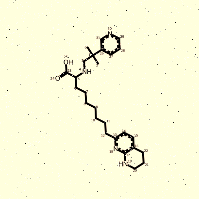 CC(C)(CNC(CCCCCCCc1ccc2c(n1)NCCC2)C(=O)O)c1cccnc1